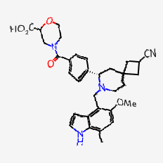 COc1cc(C)c2[nH]ccc2c1CN1CCC2(CC(C#N)C2)C[C@H]1c1ccc(C(=O)N2CCOC(C(=O)O)C2)cc1